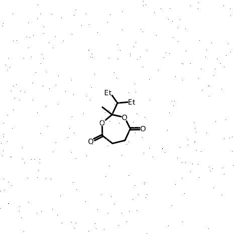 CCC(CC)C1(C)OC(=O)CCC(=O)O1